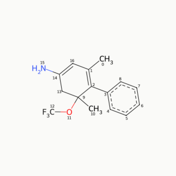 CC1=C(c2ccccc2)C(C)(OC(F)(F)F)CC(N)=C1